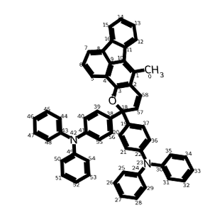 Cc1c2c(c3cccc4c3c1-c1ccccc1-4)OC(c1ccc(N(c3ccccc3)c3ccccc3)cc1)(c1ccc(N(c3ccccc3)c3ccccc3)cc1)C=C2